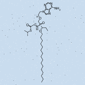 CCCCCCCCCCCCCCCCOC(CC)P(=O)(CO[C@H](C)Cn1cnc2c(N)ncnc21)N[C@@H](C)C(=O)SC(C)C